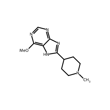 COc1ncnc2nc(C3CCN(C)CC3)[nH]c12